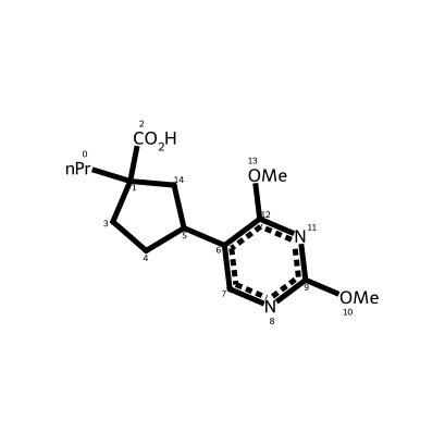 CCCC1(C(=O)O)CCC(c2cnc(OC)nc2OC)C1